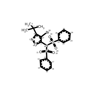 CC(C)(C)c1noc(N(S(=O)(=O)c2ccccc2)S(=O)(=O)c2ccccc2)c1Br